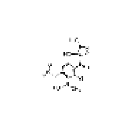 CN(C)c1c(C[SH](=O)=O)ccc(C(=O)c2cnn(C)c2O)c1Cl